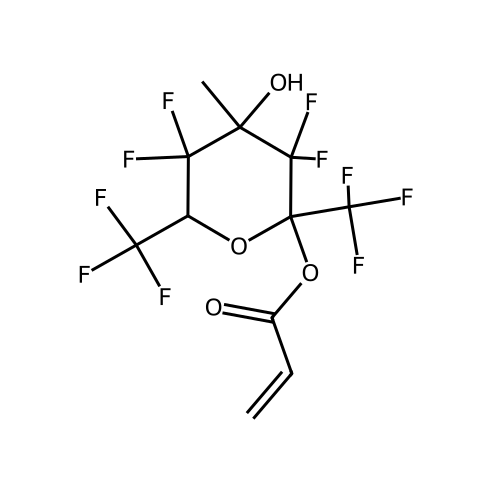 C=CC(=O)OC1(C(F)(F)F)OC(C(F)(F)F)C(F)(F)C(C)(O)C1(F)F